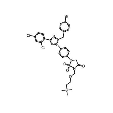 C[Si](C)(C)CCOCN1C(=O)CN(c2ccc(-n3cc(-c4ccc(Cl)cc4Cl)nc3Cc3ccc(Br)cc3)cc2)S1(=O)=O